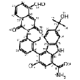 Cc1c(-c2c(Cl)cc(C(N)=O)c3[nH]c4cc(C(C)(C)O)ccc4c23)cccc1-n1c(=O)cc2c(C=O)cccn2c1=O